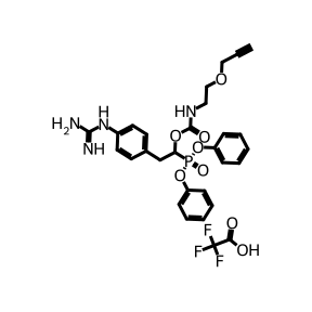 C#CCOCCNC(=O)OC(Cc1ccc(NC(=N)N)cc1)P(=O)(Oc1ccccc1)Oc1ccccc1.O=C(O)C(F)(F)F